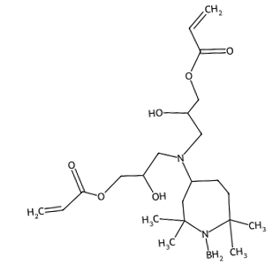 BN1C(C)(C)CCC(N(CC(O)COC(=O)C=C)CC(O)COC(=O)C=C)CC1(C)C